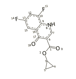 O=C(OC1CC1)c1c[nH]c2c(F)cc(F)cc2c1=O